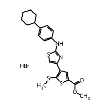 Br.COC(=O)c1cc(-c2csc(Nc3ccc(C4CCCCC4)cc3)n2)c(SC)s1